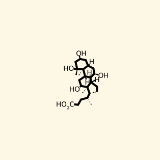 C[C@H](CCC(=O)O)[C@H]1CC[C@H]2[C@@H]3[C@H](O)C[C@@H]4C[C@H](O)C[C@@](C)(O)[C@]4(C)[C@H]3C[C@H](O)[C@]12C